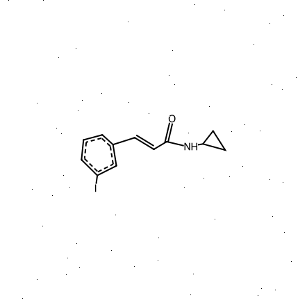 O=C(C=Cc1cccc(I)c1)NC1CC1